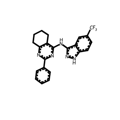 FC(F)(F)c1ccc2[nH]nc(Nc3nc(-c4ccccc4)nc4c3CCCC4)c2c1